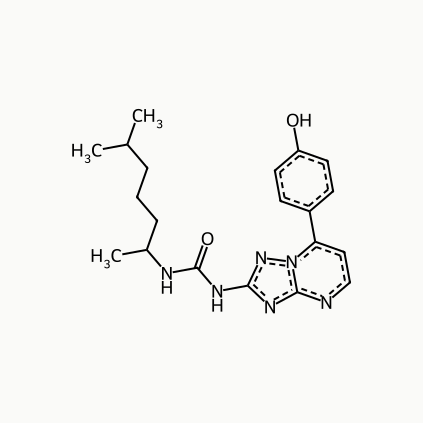 CC(C)CCCC(C)NC(=O)Nc1nc2nccc(-c3ccc(O)cc3)n2n1